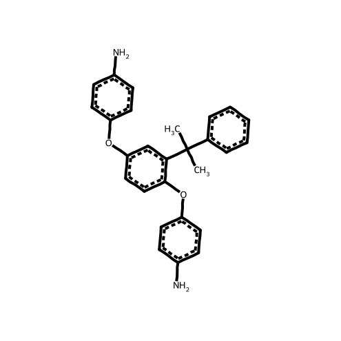 CC(C)(c1ccccc1)c1cc(Oc2ccc(N)cc2)ccc1Oc1ccc(N)cc1